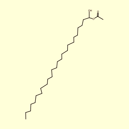 CCCCCCCCCCCCCCCCCCCCCCCCC(O)OC(C)=O